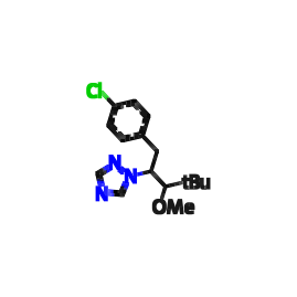 COC(C(Cc1ccc(Cl)cc1)n1cncn1)C(C)(C)C